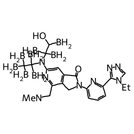 BC(O)C(B)(B)N(c1cc2c(c(CNC)n1)CN(c1cccc(-c3nncn3CC)n1)C2=O)C(B)(B)C(B)(B)B